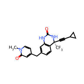 Cn1ccc(Cc2ccc3c(c2)NC(=O)N[C@]3(C#CC2CC2)C(F)(F)F)cc1=O